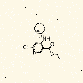 CCOC(=O)c1cnc(Cl)cc1N[C@H]1CCCC[C@H]1C